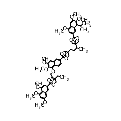 CCC12COC(c3cc(OC)c4c(OC)cc(OC)cc4c3)(OC1)OC2COc1c(OC)c(OC)cc2cc(C34OCC(CCC(C)C56COC(c7cc(OC)c8cc(OC)c(OC)c(C(C)C)c8c7)(OC5)OC6)(CO3)CO4)ccc12